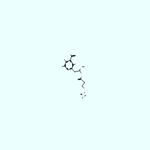 CS(=O)(=O)NCCC(=O)NC1Cc2cc(F)c(F)c(C(=O)O)c2OB1O